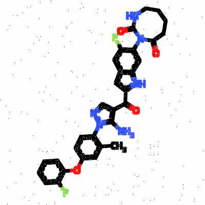 Cc1cc(Oc2ccccc2F)ccc1-n1ncc(C(=O)c2cc3cc(F)c(N4C(=O)CCCCNC4=O)cc3[nH]2)c1N